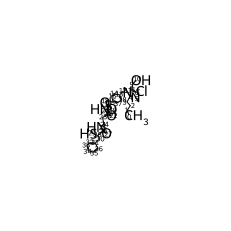 CCCCc1nc(Cl)c(CO)n1Cc1ccc(S(=O)(=O)NC(=O)CCNC(=O)C(S)Cc2ccccc2)cc1